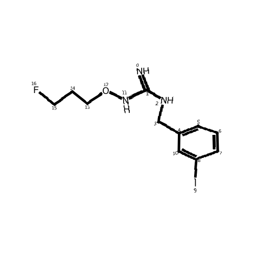 N=C(NCc1cccc(I)c1)NOCCCF